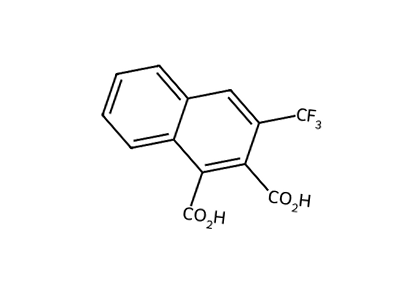 O=C(O)c1c(C(F)(F)F)cc2ccccc2c1C(=O)O